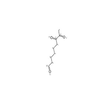 CC(=O)C(=O)CCCCCC=O